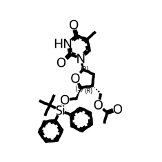 CC(=O)OC[C@H]1C[C@H](n2cc(C)c(=O)[nH]c2=O)O[C@@H]1CO[Si](c1ccccc1)(c1ccccc1)C(C)(C)C